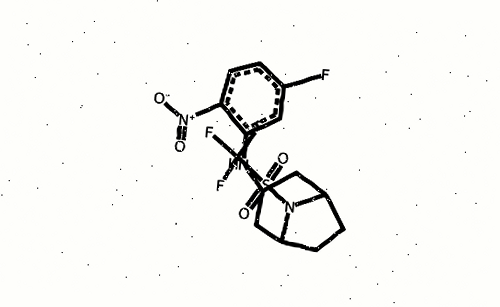 O=[N+]([O-])c1ccc(F)cc1NC1CC2CCC(C1)N2S(=O)(=O)C(F)(F)F